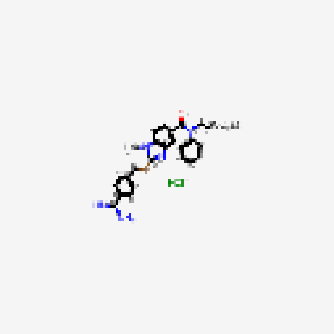 CCOC(=O)CCN(C(=O)c1ccc2c(c1)nc(SCc1ccc(C(=N)N)cc1)n2C)c1ccccc1.Cl